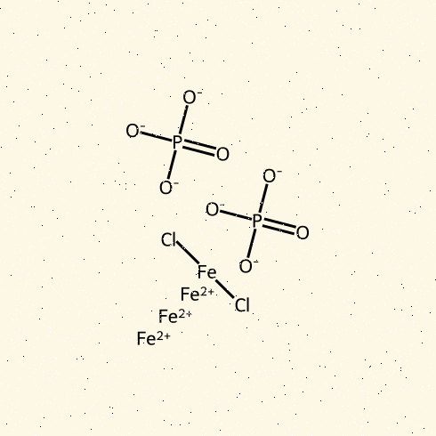 O=P([O-])([O-])[O-].O=P([O-])([O-])[O-].[Cl][Fe][Cl].[Fe+2].[Fe+2].[Fe+2]